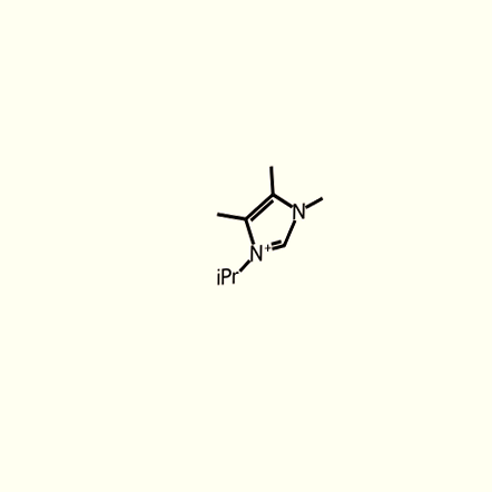 Cc1c(C)[n+](C(C)C)cn1C